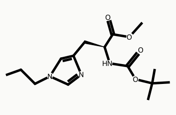 CCCn1cnc(C[C@H](NC(=O)OC(C)(C)C)C(=O)OC)c1